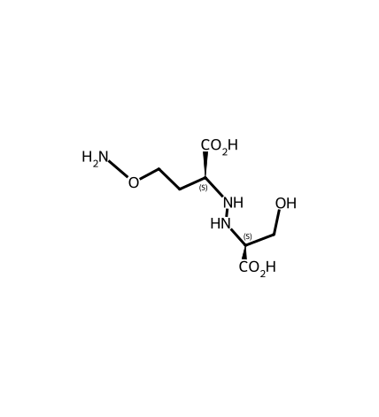 NOCC[C@H](NN[C@@H](CO)C(=O)O)C(=O)O